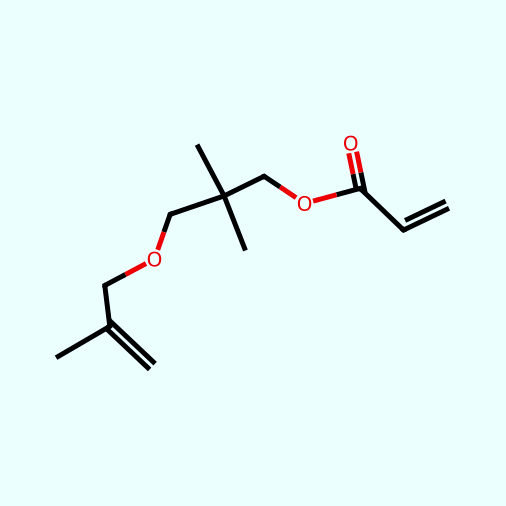 C=CC(=O)OCC(C)(C)COCC(=C)C